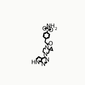 NS(=O)(=O)c1ccc(CC(=O)N2CCN(c3ncnc4[nH]ccc34)CC23CC3)cc1